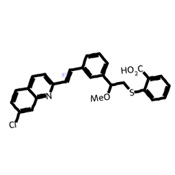 COC(CSc1ccccc1C(=O)O)c1cccc(/C=C/c2ccc3ccc(Cl)cc3n2)c1